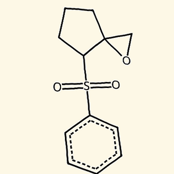 O=S(=O)(c1ccccc1)C1CCCC12CO2